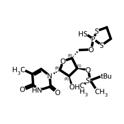 Cc1cn([C@@H]2O[C@H](CO[P]3(S)SCCS3)[C@@H](O[Si](C)(C)C(C)(C)C)[C@H]2O)c(=O)[nH]c1=O